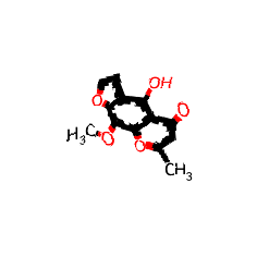 COc1c2occc2c(O)c2c(=O)cc(C)oc12